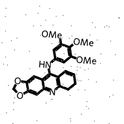 COc1cc(Nc2c3c(nc4cc5c(cc24)OCO5)CCC=C3)cc(OC)c1OC